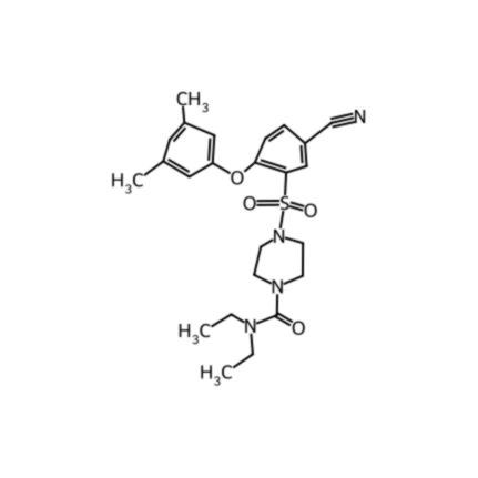 CCN(CC)C(=O)N1CCN(S(=O)(=O)c2cc(C#N)ccc2Oc2cc(C)cc(C)c2)CC1